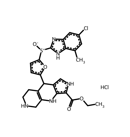 CCOC(=O)c1[nH]cc2c1NC1=C(CCNC1)C2c1ccc([S+]([O-])c2nc3cc(Cl)cc(C)c3[nH]2)o1.Cl